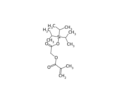 C=C(C)C(=O)OCC(=O)O[Si](C(C)C)(C(C)C)C(C)C